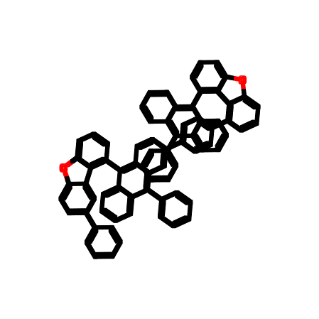 c1ccc(-c2ccc3oc4cccc(-c5c6ccccc6c(-c6ccccc6)c6cc(-c7ccc(-c8cccc9oc%10cccc(-c%11c%12ccccc%12c(-c%12ccccc%12)c%12ccccc%11%12)c%10c89)cc7)ccc56)c4c3c2)cc1